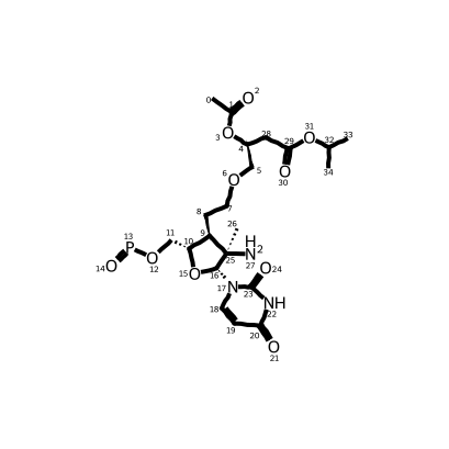 CC(=O)O[C@H](COCC[C@@H]1[C@@H](COP=O)O[C@@H](n2ccc(=O)[nH]c2=O)[C@]1(C)N)CC(=O)OC(C)C